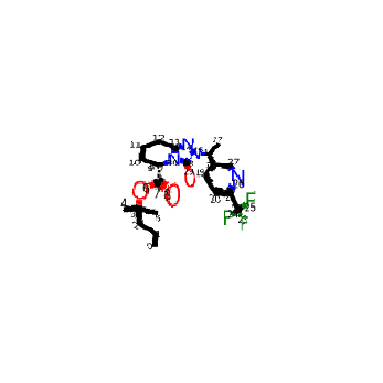 CCCC(C)(C)OC(=O)[C@@H]1CCCc2nn(C(C)c3ccc(C(F)(F)F)nc3)c(=O)n21